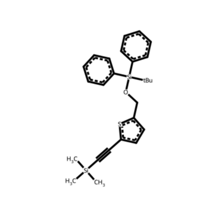 CC(C)(C)[Si](OCc1ccc(C#C[Si](C)(C)C)s1)(c1ccccc1)c1ccccc1